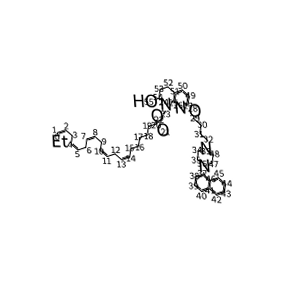 CC/C=C\C/C=C\C/C=C\C/C=C\C/C=C\CCCCCC(=O)OCN1c2nc(OCCCCN3CCN(c4cccc5ccccc45)CC3)ccc2CCC1O